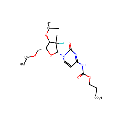 CC(C)[SiH](C)O[C@@H]1[C@@H](CO[SiH2]C(C)(C)C)O[C@@H](n2ccc(NC(=O)OCCC(=O)O)nc2=O)C1(C)F